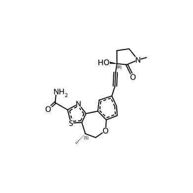 C[C@H]1COc2ccc(C#C[C@]3(O)CCN(C)C3=O)cc2-c2nc(C(N)=O)sc21